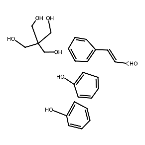 O=CC=Cc1ccccc1.OCC(CO)(CO)CO.Oc1ccccc1.Oc1ccccc1